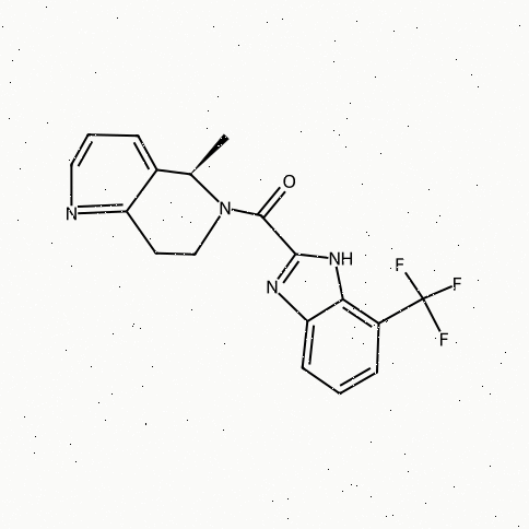 C[C@@H]1c2cccnc2CCN1C(=O)c1nc2cccc(C(F)(F)F)c2[nH]1